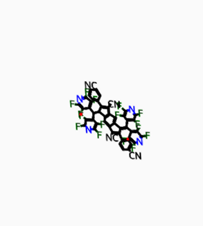 N#CC1=C(c2ccc(C#N)cc2)C(=C(c2c(F)c(F)nc(F)c2F)c2c(F)c(F)nc(F)c2F)c2cc3c(cc21)C(C(c1c(F)c(F)nc(F)c1F)c1c(F)c(F)nc(F)c1F)C(c1ccc(C#N)cc1)=C3C#N